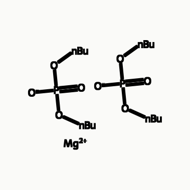 CCCCOP(=O)([O-])OCCCC.CCCCOP(=O)([O-])OCCCC.[Mg+2]